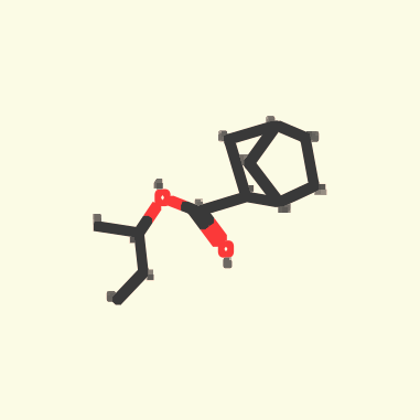 CCC(C)OC(=O)C1CC2CCC1C2